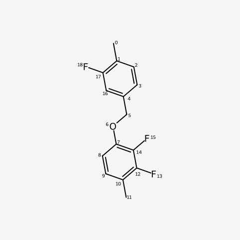 Cc1ccc(COc2ccc(C)c(F)c2F)cc1F